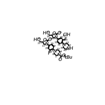 CC(C)(C)OC(=O)N1CCN(c2ccc(N3CC(CO)OC3=O)cc2F)CC1.Cl.O=C1OC(CO)CN1c1ccc(N2CCNCC2)c(F)c1